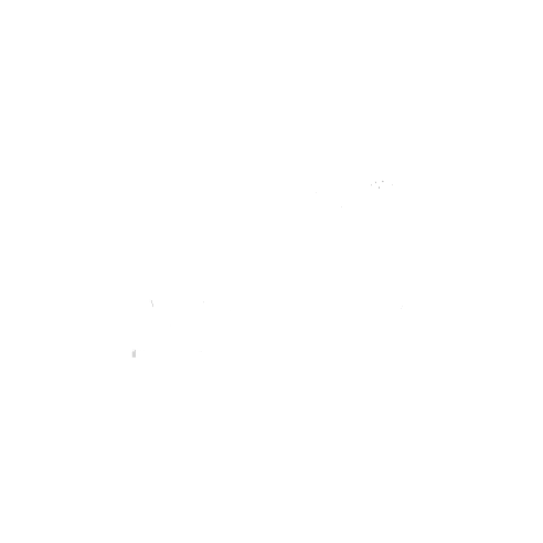 COC(=O)c1cc(Br)c(C)c(CCCO[Si](C(C)C)(C(C)C)C(C)C)c1